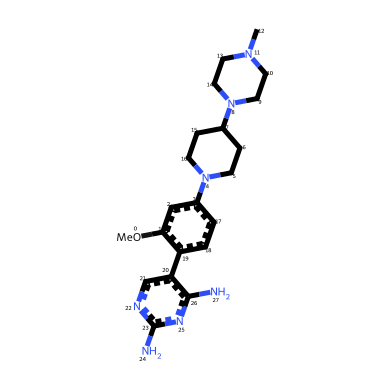 COc1cc(N2CCC(N3CCN(C)CC3)CC2)ccc1-c1cnc(N)nc1N